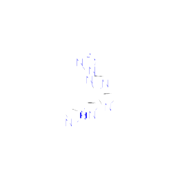 c1ccncc1.c1ccnnc1.c1cnccn1.c1cncnc1.c1ncncn1